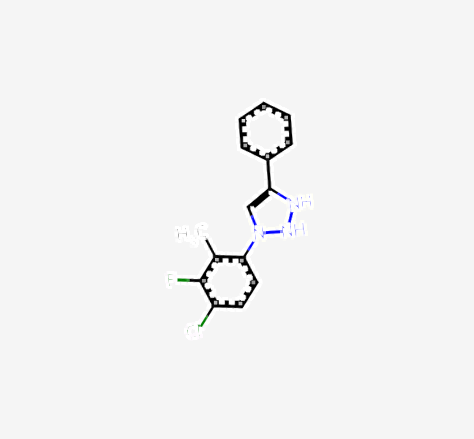 Cc1c(N2C=C(c3ccccc3)NN2)ccc(Cl)c1F